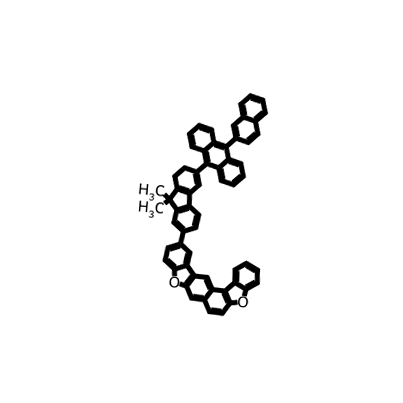 CC1(C)C2=C(C=C(c3c4ccccc4c(-c4ccc5ccccc5c4)c4ccccc34)CC2)c2ccc(-c3ccc4oc5cc6ccc7oc8ccccc8c7c6cc5c4c3)cc21